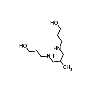 CC(CNCCCO)CNCCCO